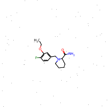 CCOc1cc(CN2CC[CH]CC2C(N)=O)ccc1F